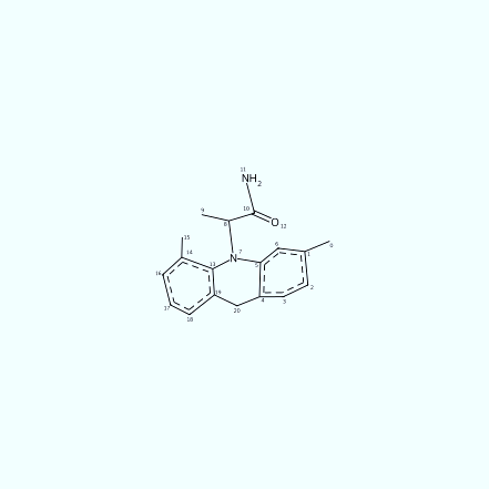 Cc1ccc2c(c1)N(C(C)C(N)=O)c1c(C)cccc1C2